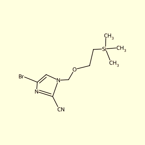 C[Si](C)(C)CCOCn1cc(Br)nc1C#N